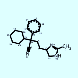 CC1=NC(CCC(C#N)(c2ccccc2)C2CCCCC2)CN1